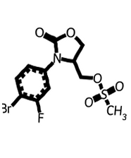 CS(=O)(=O)OCC1COC(=O)N1c1ccc(Br)c(F)c1